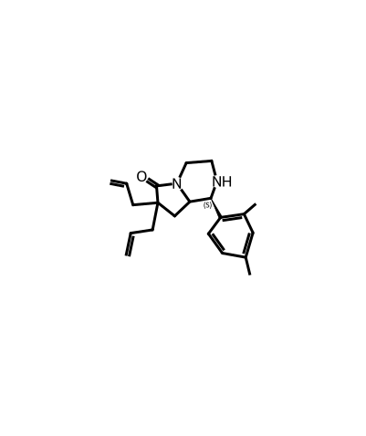 C=CCC1(CC=C)CC2[C@H](c3ccc(C)cc3C)NCCN2C1=O